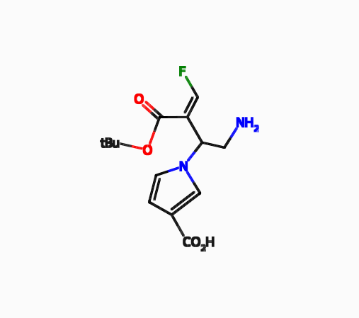 CC(C)(C)OC(=O)C(=CF)C(CN)n1ccc(C(=O)O)c1